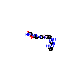 Cc1cccc(C)c1Nc1nn(C)c2nc(Nc3ccc4c(c3)CN(CC3(O)CCN(c5ccc6c(n5)CN(C5CCC(=O)NC5=O)C6=O)CC3)CC4)ncc12